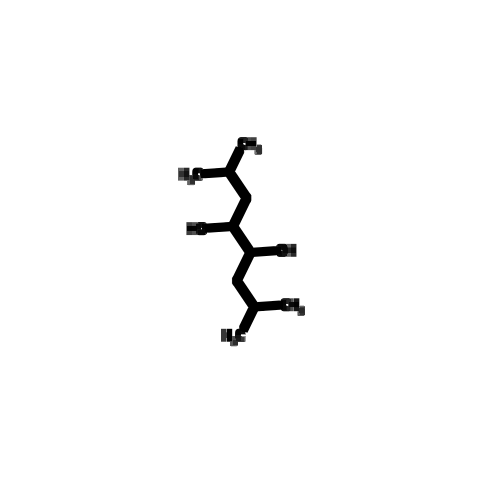 CC(C)CC(O)C(O)CC(C)C